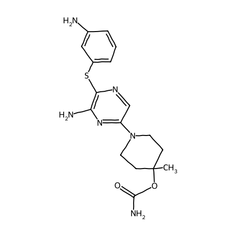 CC1(OC(N)=O)CCN(c2cnc(Sc3cccc(N)c3)c(N)n2)CC1